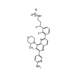 CC1COCCN1c1nc(-c2ccc(N)nc2)nc2ccc(-c3cccc(C(F)CCN[SH](=O)=O)c3F)nc12